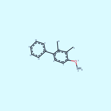 Cc1c(O[SiH3])ccc(-c2ccccc2)c1C